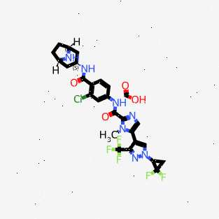 Cn1c(-c2cn(C3CC3(F)F)nc2C(F)(F)F)cnc1C(=O)Nc1ccc(C(=O)N[C@@H]2C[C@H]3CC[C@@H](C2)N3)c(Cl)c1.O=CO